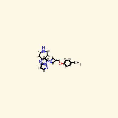 Cc1ccc(OCC2CN(c3c4c(nc5ccnn35)CCNCC4)C2)cc1